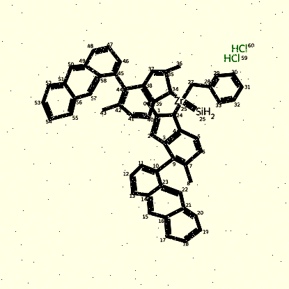 CC1=Cc2c(ccc(C)c2-c2cccc3cc4ccccc4cc23)[CH]1[Zr](=[SiH2])([CH2]c1ccccc1)[CH]1C(C)=Cc2c1ccc(C)c2-c1cccc2cc3ccccc3cc12.Cl.Cl